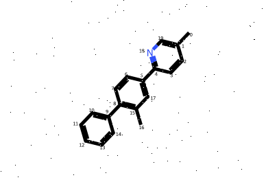 Cc1ccc(-c2ccc(-c3ccccc3)c(C)c2)nc1